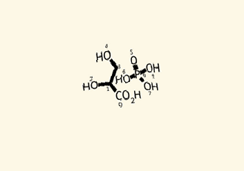 O=C(O)C(O)CO.O=P(O)(O)O